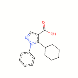 O=C(O)c1cnn(-c2ccccc2)c1C1CCCCC1